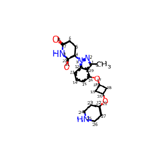 Cc1nn(C2CCC(=O)NC2=O)c2cccc(OC3CC(OC4CCNCC4)C3)c12